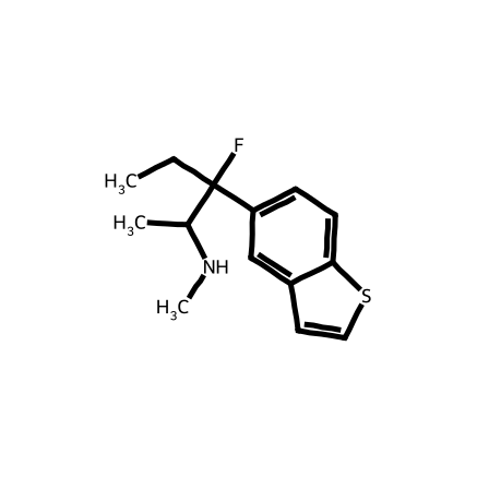 CCC(F)(c1ccc2sccc2c1)C(C)NC